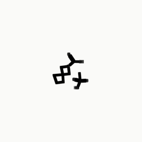 CS(=O)(=O)O.O=C(O)N1CC2(CCC2)C1